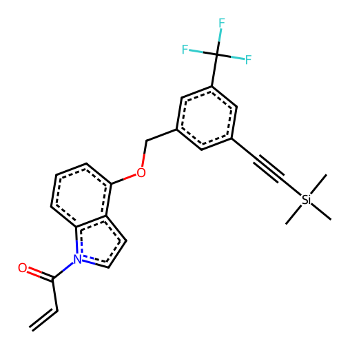 C=CC(=O)n1ccc2c(OCc3cc(C#C[Si](C)(C)C)cc(C(F)(F)F)c3)cccc21